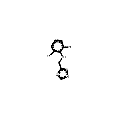 CCc1cccc(CC)c1NCc1nnco1